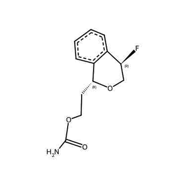 NC(=O)OCC[C@H]1OC[C@H](F)c2ccccc21